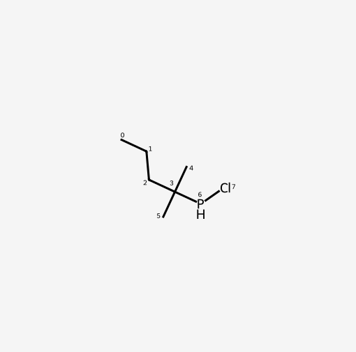 CCCC(C)(C)PCl